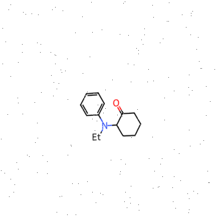 CCN(c1ccccc1)C1CCCCC1=O